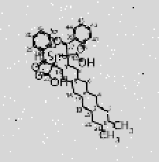 CCCCCCCCCC[C]([SnH2][C](CCCCCCCCCC)(C(=O)O)C(=O)c1ccccc1)(C(=O)O)C(=O)c1ccccc1